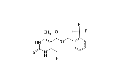 CC1=C(C(=O)OCc2ccccc2C(F)(F)F)C(CF)NC(=S)N1